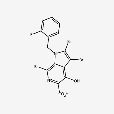 O=C(O)c1nc(Br)c2c(c1O)c(Br)c(Br)n2Cc1ccccc1F